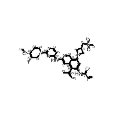 C=CC(=O)Nc1cc(N2CC(CS(C)(=O)=O)C2)c2cnc(Nc3ccnc(N4CC[C@@H](OC)[C@@H](F)C4)n3)cc2c1C(C)C